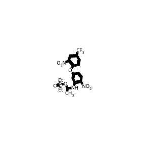 CCP(=O)(CC)OC(C)Nc1cc(Oc2ccc(C(F)(F)F)cc2[N+](=O)[O-])ccc1[N+](=O)[O-]